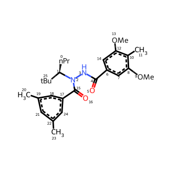 CCC[C@@H](N(NC(=O)c1cc(OC)c(C)c(OC)c1)C(=O)c1cc(C)cc(C)c1)C(C)(C)C